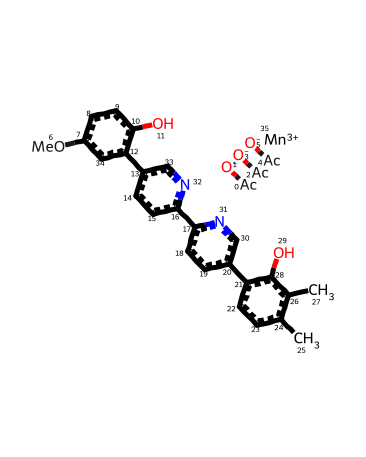 CC(=O)[O-].CC(=O)[O-].CC(=O)[O-].COc1ccc(O)c(-c2ccc(-c3ccc(-c4ccc(C)c(C)c4O)cn3)nc2)c1.[Mn+3]